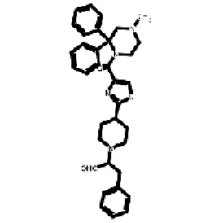 CN1CCN(C(=O)c2csc(C3CCN(C(C=O)Cc4ccccc4)CC3)n2)C(c2ccccc2)(c2ccccc2)C1